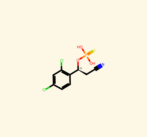 N#CC[C@H](OP(O)(O)=S)c1ccc(Cl)cc1Cl